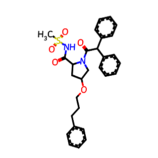 CS(=O)(=O)NC(=O)C1CC(OCCCc2ccccc2)CN1C(=O)C(c1ccccc1)c1ccccc1